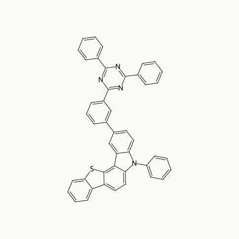 c1ccc(-c2nc(-c3ccccc3)nc(-c3cccc(-c4ccc5c(c4)c4c6sc7ccccc7c6ccc4n5-c4ccccc4)c3)n2)cc1